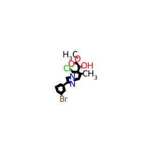 COC(=O)[C@@H](O)c1c(C)cc2nc(-c3cccc(Br)c3)cn2c1Cl